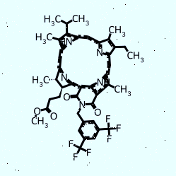 CCC1=C(C)c2cc3[nH]c(cc4nc(c5c6[nH]c(cc1n2)c(C)c6C(=O)N(Cc1cc(C(F)(F)F)cc(C(F)(F)F)c1)C5=O)[C@@H](CCC(=O)OC)[C@@H]4C)c(C)c3C(C)C